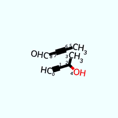 C#CC(C)O.CC#CC=O